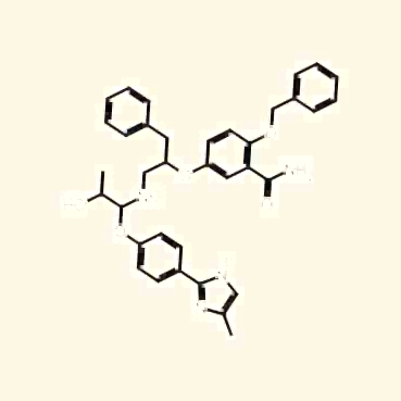 Cc1c[nH]c(-c2ccc(OC(NCC(Cc3ccccc3)Oc3ccc(OCc4ccccc4)c(C(N)=O)c3)C(C)O)cc2)n1